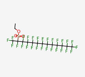 CCOS(=O)(=O)C(F)(C(F)(F)F)C(F)(F)C(F)(F)C(F)(F)C(F)(F)C(F)(F)C(F)(F)C(F)(F)C(F)(F)C(F)(F)C(F)(F)C(F)(F)F